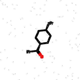 CCC[C@H]1CC[C@@H](C(=O)C(C)C)CC1